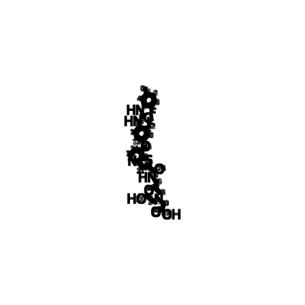 Cc1ccc(F)c(NC(=O)Nc2ccc(Oc3ccnc4cc(C(=O)NCCCN(CC(=O)O)CC(=O)O)sc34)cc2F)c1